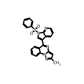 Cc1cc2nc(-c3cn(S(=O)(=O)c4ccccc4)c4ncccc34)c3ccccc3n2n1